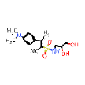 C/C(=C(/C#N)S(=O)(=O)NCC(O)CO)c1ccc(N(C)C)cc1